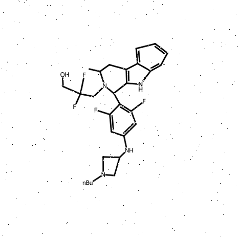 CCCCN1CC(Nc2cc(F)c(C3c4[nH]c5ccccc5c4CC(C)N3CC(F)(F)CO)c(F)c2)C1